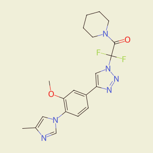 COc1cc(-c2cn(C(F)(F)C(=O)N3CCCCC3)nn2)ccc1-n1cnc(C)c1